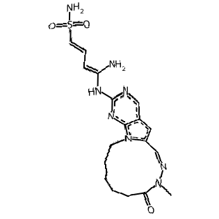 CN1/N=C\c2cc3cnc(N/C(N)=C/C=C/S(N)(=O)=O)nc3n2CCCCCC1=O